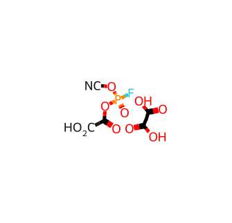 N#COP(=O)(F)OC(=O)C(=O)O.O=C(O)C(=O)O